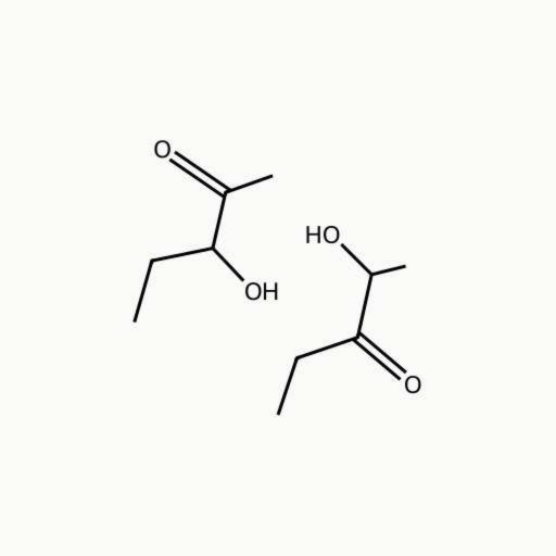 CCC(=O)C(C)O.CCC(O)C(C)=O